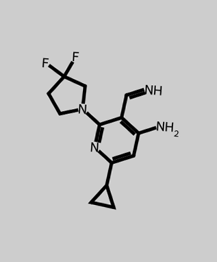 N=Cc1c(N)cc(C2CC2)nc1N1CCC(F)(F)C1